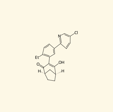 CCc1ccc(-c2ccc(Cl)cn2)cc1C1=C(O)[C@H]2CC[C@H](C2)C1=O